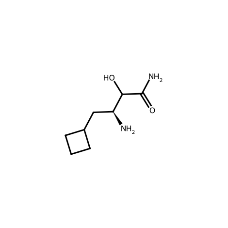 NC(=O)C(O)[C@@H](N)CC1CCC1